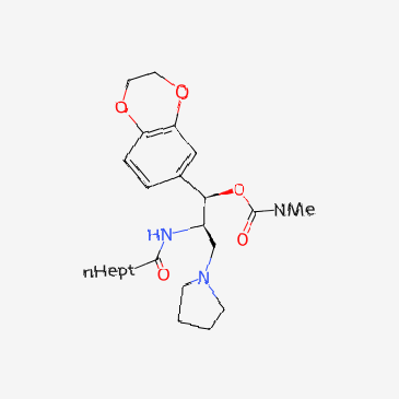 CCCCCCCC(=O)N[C@H](CN1CCCC1)[C@H](OC(=O)NC)c1ccc2c(c1)OCCO2